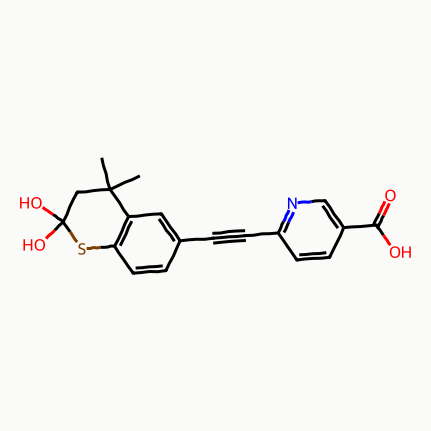 CC1(C)CC(O)(O)Sc2ccc(C#Cc3ccc(C(=O)O)cn3)cc21